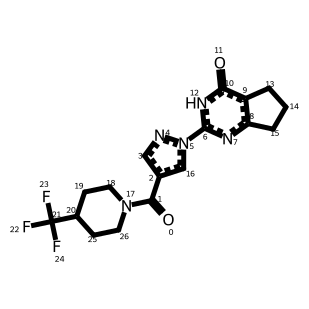 O=C(c1cnn(-c2nc3c(c(=O)[nH]2)CCC3)c1)N1CCC(C(F)(F)F)CC1